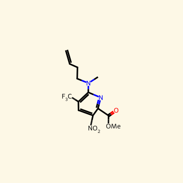 C=CCCN(C)c1nc(C(=O)OC)c([N+](=O)[O-])cc1C(F)(F)F